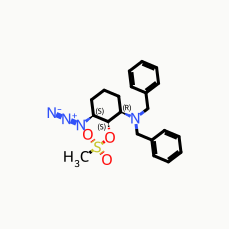 CS(=O)(=O)O[C@@H]1[C@@H](N=[N+]=[N-])CCC[C@H]1N(Cc1ccccc1)Cc1ccccc1